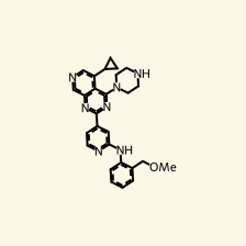 COCc1ccccc1Nc1cc(-c2nc(N3CCNCC3)c3c(C4CC4)cncc3n2)ccn1